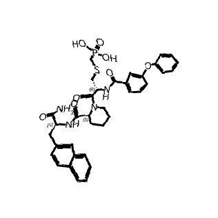 NC(=O)[C@H](Cc1ccc2ccccc2c1)NC(=O)[C@@H]1CCCCN1C(=O)[C@H](CSCP(=O)(O)O)NC(=O)c1cccc(Oc2ccccc2)c1